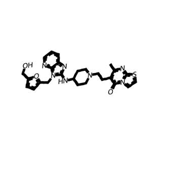 Cc1nc2sccn2c(=O)c1CCN1CCC(Nc2nc3cccnc3n2Cc2ccc(CO)o2)CC1